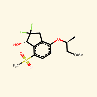 COC[C@H](C)Oc1ccc(S(=O)(=O)C(F)(F)F)c2c1CC(F)(F)[C@H]2O